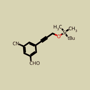 [C-]#[N+]c1cc(C#CCO[Si](C)(C)C(C)(C)C)cc(C=O)c1